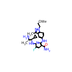 COCCn1nc(C)c2cc(Nc3nc(N[C@H](C4CC4)[C@H](C)N)c(F)cc3C(N)=O)ccc21